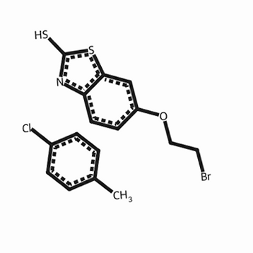 Cc1ccc(Cl)cc1.Sc1nc2ccc(OCCBr)cc2s1